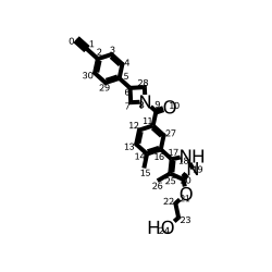 C#Cc1ccc(C2CN(C(=O)c3ccc(C)c(-c4[nH]nc(OCCO)c4C)c3)C2)cc1